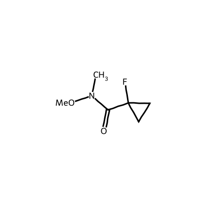 CON(C)C(=O)C1(F)CC1